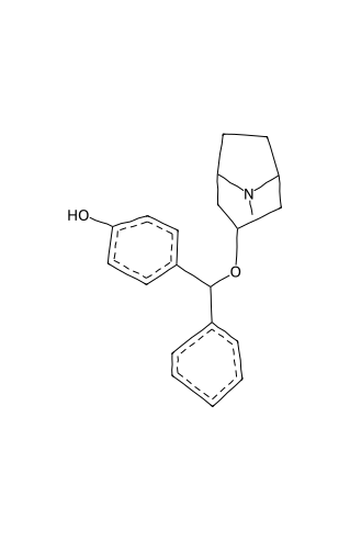 CN1C2CCC1CC(OC(c1ccccc1)c1ccc(O)cc1)C2